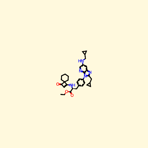 CCOC(=O)[C@H](Cc1ccc(-n2c(CC3CC3)nc3cc(NCC4CC4)cnc32)cc1)NC1=CC(=O)C12CCCCC2